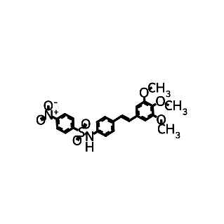 COc1cc(C=Cc2ccc(NS(=O)(=O)c3ccc([N+](=O)[O-])cc3)cc2)cc(OC)c1OC